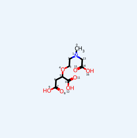 CN(CCOC(CC(=O)O)C(=O)O)CC(=O)O